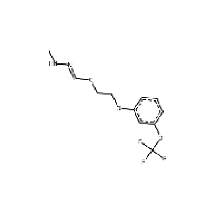 CN/N=C/OCCOc1cccc(OC(F)(F)F)c1